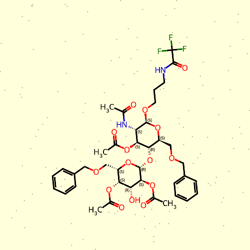 CC(=O)N[C@@H]1[C@@H](OCCCNC(=O)C(F)(F)F)O[C@@H](COCc2ccccc2)[C@H](O[C@H]2O[C@@H](COCc3ccccc3)[C@@H](OC(C)=O)[C@@H](O)[C@@H]2OC(C)=O)[C@H]1OC(C)=O